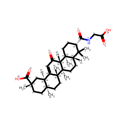 CC1(C)[C@@H](C(=O)NCC(=O)O)CC[C@]2(C)[C@H]3C(=O)C=C4[C@@H]5C[C@@](C)(C(=O)O)CC[C@]5(C)CC[C@@]4(C)[C@]3(C)CC[C@@H]12